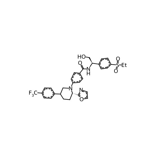 CCS(=O)(=O)c1ccc([C@H](CO)NC(=O)c2ccc(N3CC(c4ccc(C(F)(F)F)cc4)CC[C@H]3c3ncco3)cc2)cc1